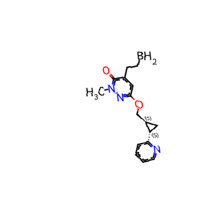 BCCc1cc(OC[C@H]2C[C@@H]2c2ccccn2)nn(C)c1=O